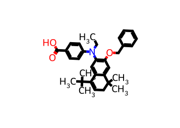 CCN(c1ccc(C(=O)O)cc1)c1cc2c(cc1OCc1ccccc1)C(C)(C)CC=C2C(C)(C)C